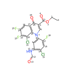 CCOC(=O)c1cn(-c2cc(NC=O)c(Cl)cc2F)c2c(Cl)c(F)c(F)cc2c1=O